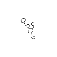 CC(=O)c1cc(C2CCC2)ccc1OCc1ccccc1